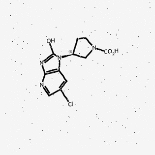 O=C(O)N1CC[C@H](n2c(O)nc3ncc(Cl)cc32)C1